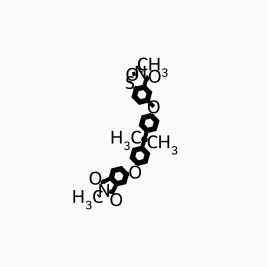 CN1OSc2ccc(Oc3ccc(C(C)(C)c4ccc(Oc5ccc6c(c5)C(=O)N(C)C6=O)cc4)cc3)cc2C1=O